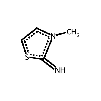 Cn1ccsc1=N